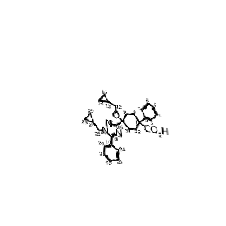 O=C(O)C1(c2ccccc2)CCC(OCC2CC2)(c2nc(-c3ccccc3)n(CC3CC3)n2)CC1